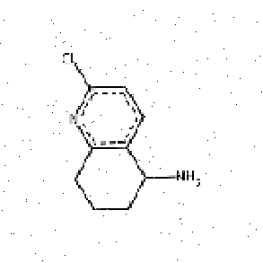 NC1CCCc2nc(Cl)ccc21